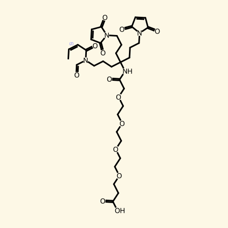 C/C=C\C(=O)N(C=O)CCCC(CCCN1C(=O)C=CC1=O)(CCCN1C(=O)C=CC1=O)NC(=O)COCCOCCOCCOCCC(=O)O